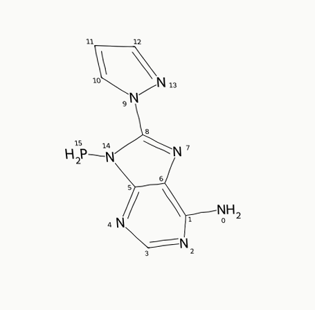 Nc1ncnc2c1nc(-n1cccn1)n2P